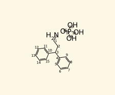 NCCC(c1ccccc1)c1ccccc1.O=P(O)(O)O